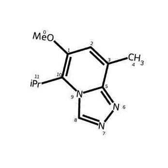 COc1cc(C)c2nncn2c1C(C)C